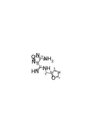 N=C(NCc1ccco1)c1nonc1N